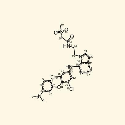 CN(C)c1cccc(Oc2c(Cl)cc(Nc3ncnc4ccn(CCNC(=O)CS(C)(=O)=O)c34)cc2Cl)c1